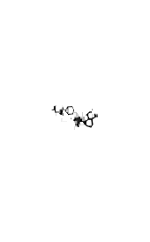 CC(C)(C)OC(=O)N1CCC[C@H](c2nn(-c3cccc4cnccc34)c(=O)[nH]2)C1